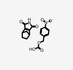 O=C(O)OCc1ccc([N+](=O)[O-])cc1.O=C1NC(=O)C2=C1C1CCC2C1